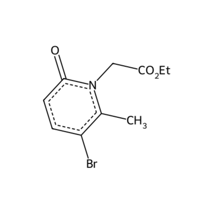 CCOC(=O)Cn1c(C)c(Br)ccc1=O